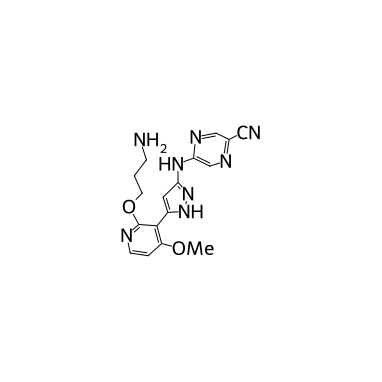 COc1ccnc(OCCCN)c1-c1cc(Nc2cnc(C#N)cn2)n[nH]1